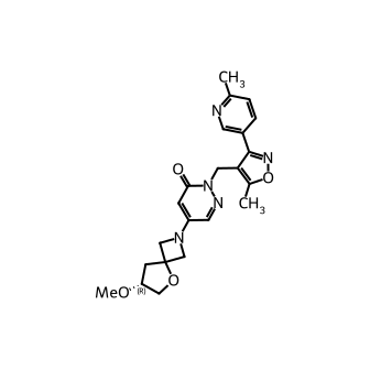 CO[C@H]1COC2(C1)CN(c1cnn(Cc3c(-c4ccc(C)nc4)noc3C)c(=O)c1)C2